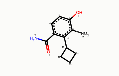 NC(=O)c1ccc(O)c([N+](=O)[O-])c1C1CCC1